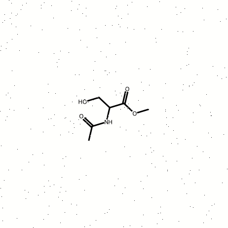 COC(=O)C(CO)NC(C)=O